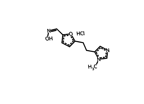 Cl.Cn1cncc1CCc1ccc(/C=N\O)o1